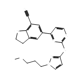 COCCCn1ccc(Nc2nccc(-c3cc(C#N)c4c(c3)CCN4)n2)n1